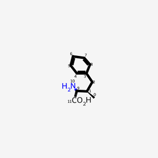 C[C@H](Cc1ccccc1)C(N)C(=O)O